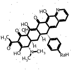 CC(=O)C1=C(O)[C@@H](N(C)C)[C@@H]2C[C@H]3C(=C(O)[C@]2(O)C1=O)C(=O)c1c(cc2cccnc2c1O)[C@@H]3c1cc[c]([RaH])cc1